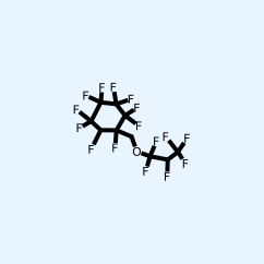 FC(C(F)(F)F)C(F)(F)OCC1(F)C(F)C(F)(F)C(F)(F)C(F)(F)C1(F)F